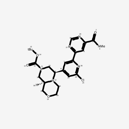 CNC(=O)c1cc(-c2cc([C@@H]3CN(C(=O)OC(C)(C)C)C[C@@H]4COCCN43)cc(Cl)n2)ncn1